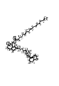 CCC=CCC=CCC=CCC=CCCCCC(=O)OCn1c(=O)ccc2ccc(OCCCCN3CCN(c4cccc5sccc45)CC3)cc21